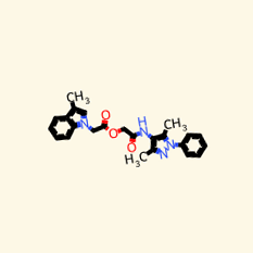 Cc1nn(-c2ccccc2)c(C)c1NC(=O)COC(=O)Cn1cc(C)c2ccccc21